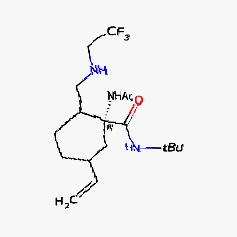 C=CC1CCC(CNCC(F)(F)F)[C@@](NC(C)=O)(C(=O)NC(C)(C)C)C1